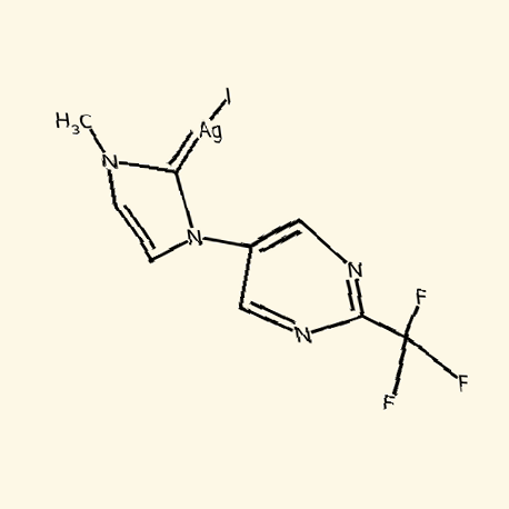 Cn1ccn(-c2cnc(C(F)(F)F)nc2)[c]1=[Ag][I]